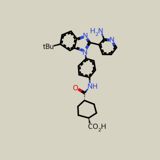 CC(C)(C)c1ccc2nc(-c3cccnc3N)n(-c3ccc(NC(=O)[C@H]4CC[C@H](C(=O)O)CC4)cc3)c2c1